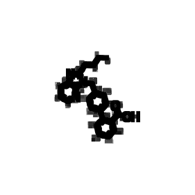 CC/C=C/c1nc2cccnc2n1Cc1ccc(-c2ccccc2C(=O)O)cc1